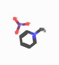 C[n+]1ccccc1.[O-][I+2]([O-])[O-]